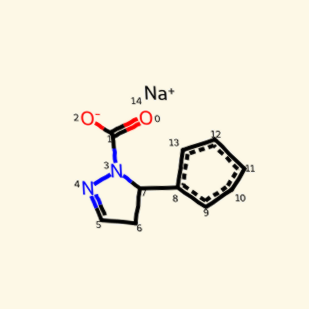 O=C([O-])N1N=CCC1c1ccccc1.[Na+]